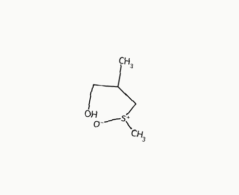 CC(CO)C[S+](C)[O-]